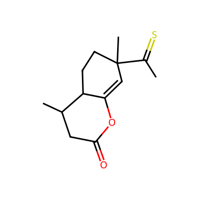 CC(=S)C1(C)C=C2OC(=O)CC(C)C2CC1